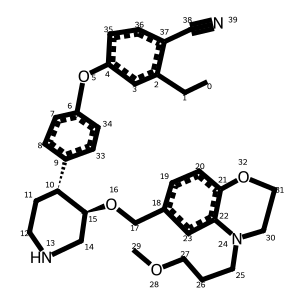 CCc1cc(Oc2ccc([C@H]3CCNC[C@@H]3OCc3ccc4c(c3)N(CCCOC)CCO4)cc2)ccc1C#N